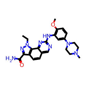 CCn1nc(C(N)=O)c2ccc3cnc(Nc4cc(N5CCN(C)CC5)ccc4OC)nc3c21